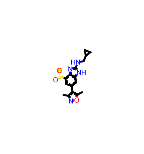 Cc1noc(C)c1-c1cc([SH](=O)=O)c2nc(NCC3CC3)[nH]c2c1